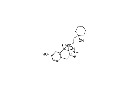 CN1CC[C@@]2(C)c3cc(O)ccc3C[C@@H]1[C@H]2NCCC1(O)CCCCC1